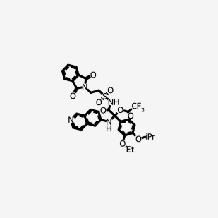 CCOc1cc(C(Nc2ccc3cnccc3c2)(OC(=O)C(F)(F)F)C(=O)NS(=O)(=O)CCN2C(=O)c3ccccc3C2=O)ccc1OC(C)C